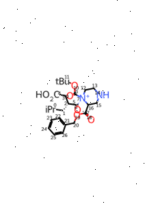 CC(C)C[C@H](CC(=O)O)C(=O)[N@+]1(C(=O)OC(C)(C)C)CCNCC1C(=O)OCc1ccccc1